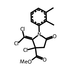 COC(=O)C1(Cl)CC(=O)N(c2cccc(C)c2C)C1=C(Cl)Cl